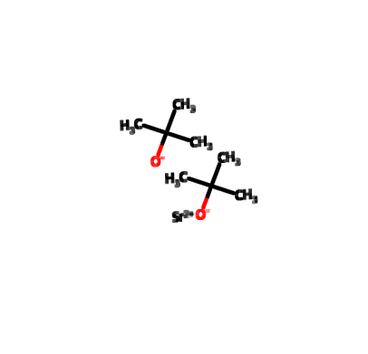 CC(C)(C)[O-].CC(C)(C)[O-].[Sr+2]